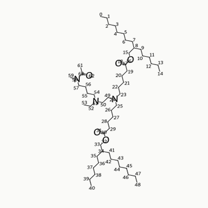 CCCCCCCCC(CCCCCC)COC(=O)CCCCCN(CCCCCC(=O)OCC(CCCCCC)CCCCCCCC)CCN(CC)CCCCN(C)C(C)=O